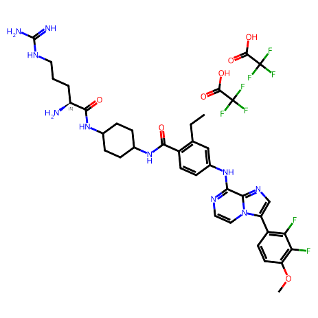 CCc1cc(Nc2nccn3c(-c4ccc(OC)c(F)c4F)cnc23)ccc1C(=O)NC1CCC(NC(=O)[C@@H](N)CCCNC(=N)N)CC1.O=C(O)C(F)(F)F.O=C(O)C(F)(F)F